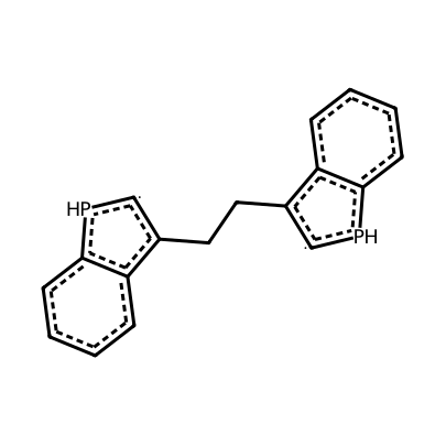 [c]1[pH]c2ccccc2c1CCc1[c][pH]c2ccccc12